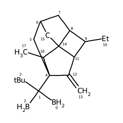 BC(B)(C(C)(C)C)C12CC3CC4C(CC)C(C1=C)C4(C3)C2C